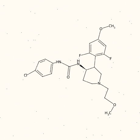 COCCN1CC[C@@H](NC(=O)Nc2ccc(Cl)cc2)C(c2c(F)cc(OC)cc2F)C1